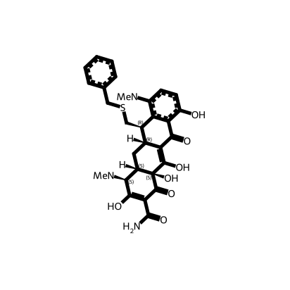 CNc1ccc(O)c2c1[C@H](CSCc1ccccc1)[C@H]1C[C@H]3[C@H](NC)C(O)=C(C(N)=O)C(=O)[C@@]3(O)C(O)=C1C2=O